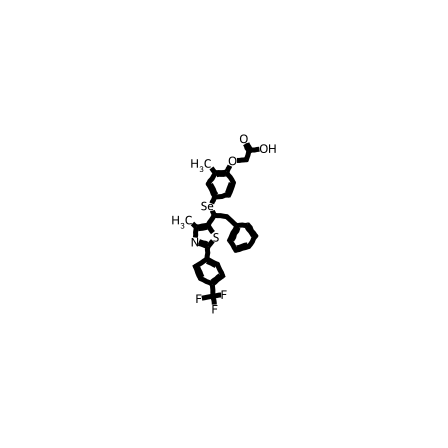 Cc1cc([Se]C(Cc2ccccc2)c2sc(-c3ccc(C(F)(F)F)cc3)nc2C)ccc1OCC(=O)O